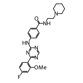 COc1cc(F)ccc1-c1ncnc(Nc2ccc(C(=O)NCCN3CCCCC3)cc2)n1